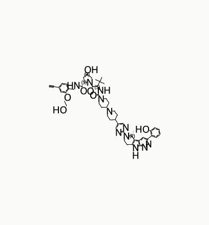 C#Cc1ccc(CNC(=O)[C@@H]2C[C@@H](O)CN2C(=O)[C@@H](NC(=O)N2CCC(N3CCC(c4cnc(N5CCc6[nH]c7nnc(-c8ccccc8O)cc7c6[C@H]5C)nc4)CC3)CC2)C(C)(C)C)c(OCCO)c1